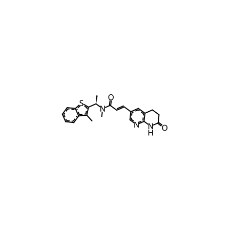 Cc1c([C@@H](C)N(C)C(=O)/C=C/c2cnc3c(c2)CCC(=O)N3)sc2ccccc12